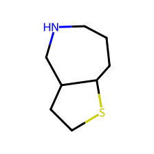 C1CNCC2CCSC2C1